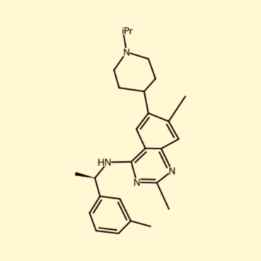 Cc1cccc([C@@H](C)Nc2nc(C)nc3cc(C)c(C4CCN(C(C)C)CC4)cc23)c1